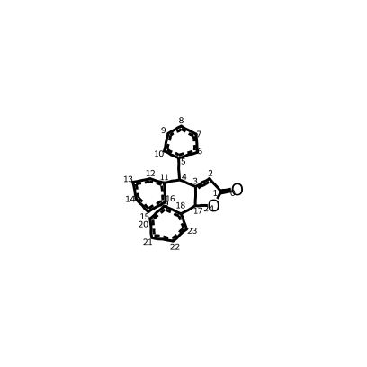 O=C1C=C(C(c2ccccc2)c2ccccc2)C(c2ccccc2)O1